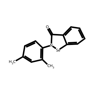 Cc1ccc(-n2[se]c3ccccc3c2=O)c(C)c1